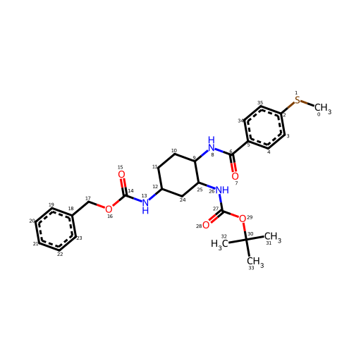 CSc1ccc(C(=O)NC2CCC(NC(=O)OCc3ccccc3)CC2NC(=O)OC(C)(C)C)cc1